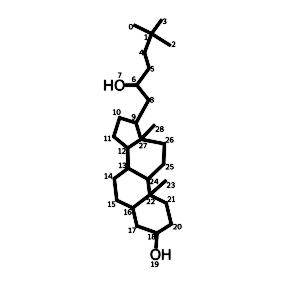 CC(C)(C)CCC(O)CC1CCC2C3CCC4CC(O)CCC4(C)C3CCC12C